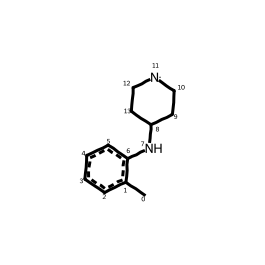 Cc1ccccc1NC1CC[N]CC1